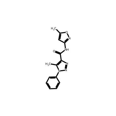 Cc1cc(NC(=O)c2nnn(-c3ccccc3)c2C)no1